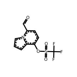 O=Cc1ccc(OS(=O)(=O)C(F)(F)F)c2cccn12